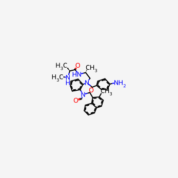 CN[C@@H](C)C(=O)N[C@H](C)CN(C(=O)c1ccc(N)cc1)c1ccccc1N(C=O)Cc1c(C)ccc2ccccc12